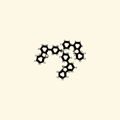 c1cc(-c2cccc3c2sc2ccccc23)cc(N(c2ccc(-c3cccc4c3oc3ccccc34)cc2)c2ccc(-c3cccc4c3sc3ccccc34)cc2)c1